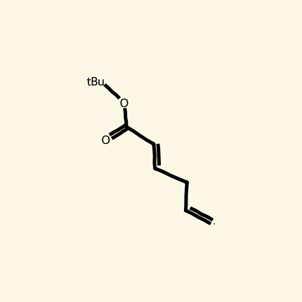 [CH]=CCC=CC(=O)OC(C)(C)C